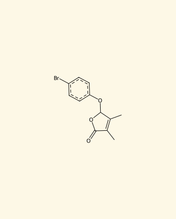 CC1=C(C)C(Oc2ccc(Br)cc2)OC1=O